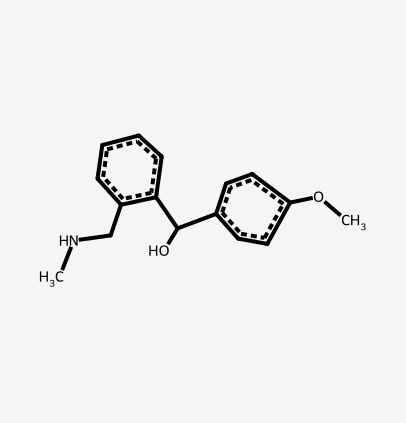 CNCc1ccccc1C(O)c1ccc(OC)cc1